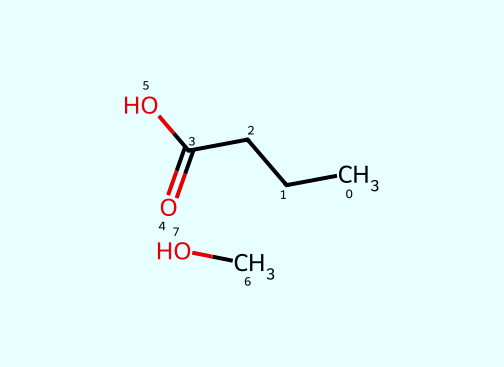 CCCC(=O)O.CO